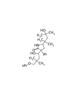 CCCOCC(C)(C)CC(O)C1(C(C)C)CC(C(C)(C)CC(C)(C)O)NC1=O